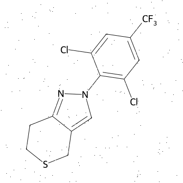 FC(F)(F)c1cc(Cl)c(-n2cc3c(n2)CCSC3)c(Cl)c1